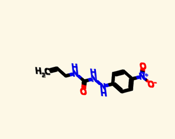 C=CCNC(=O)NNc1ccc([N+](=O)[O-])cc1